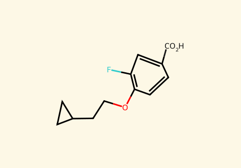 O=C(O)c1ccc(OCCC2CC2)c(F)c1